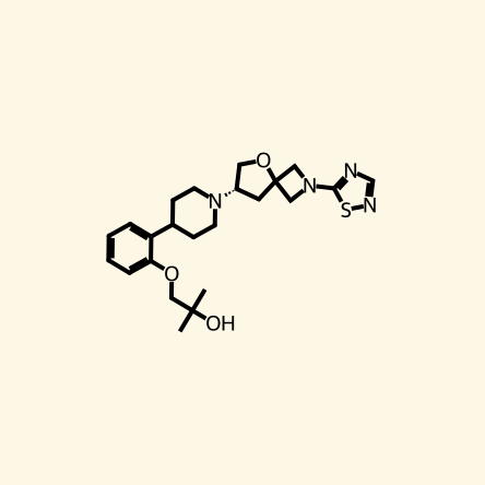 CC(C)(O)COc1ccccc1C1CCN([C@@H]2COC3(C2)CN(c2ncns2)C3)CC1